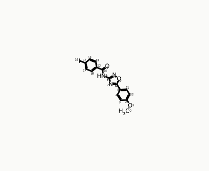 COc1ccc(-c2nc(NC(=O)c3ccc(I)cc3)no2)cc1